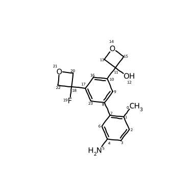 Cc1ccc(N)cc1-c1cc(C2(O)COC2)cc(C2(F)COC2)c1